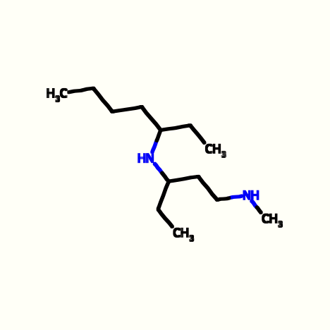 CCCCC(CC)NC(CC)CCNC